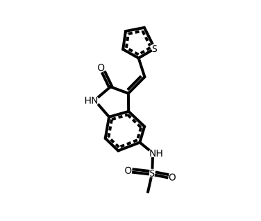 CS(=O)(=O)Nc1ccc2c(c1)C(=Cc1cccs1)C(=O)N2